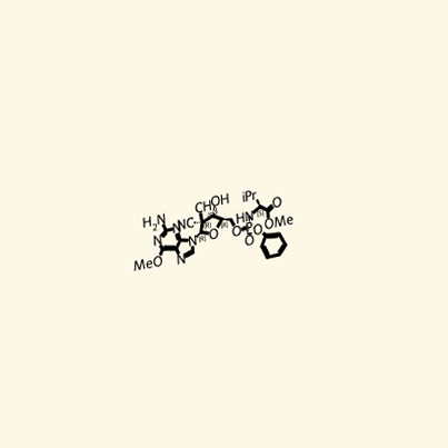 COC(=O)[C@@H](N[P@@](=O)(OC[C@H]1O[C@@H](n2cnc3c(OC)nc(N)nc32)[C@](C)(C#N)[C@@H]1O)Oc1ccccc1)C(C)C